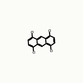 Clc1ccc(Cl)c2cc3c(Cl)ccc(Cl)c3cc12